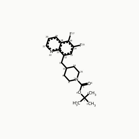 CC(C)(C)OC(=O)N1CCC(Cc2cc(F)c(F)c3cccnc23)CC1